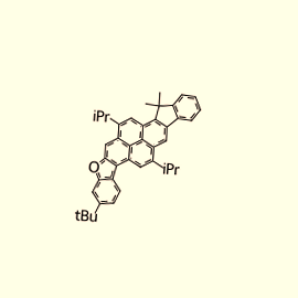 CC(C)c1cc2c3c(cc4c(C(C)C)cc5c6c(cc1c5c42)-c1ccccc1C6(C)C)oc1cc(C(C)(C)C)ccc13